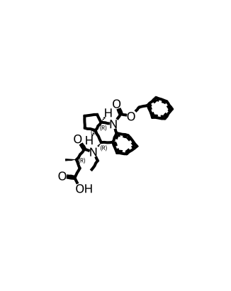 CCN(C(=O)[C@H](C)CC(=O)O)[C@H]1c2ccccc2N(C(=O)OCc2ccccc2)[C@@H]2CCC[C@@H]21